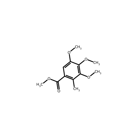 COC(=O)c1cc(OC)c(OC)c(OC)c1C